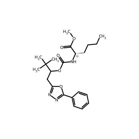 CCCC[C@H](NC(=O)OC(Cc1nnc(-c2ccccc2)o1)C(C)(C)C)C(=O)OC